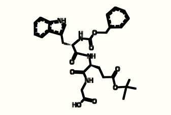 CC(C)(C)OC(=O)CC[C@H](NC(=O)[C@H](Cc1c[nH]c2ccccc12)NC(=O)OCc1ccccc1)C(=O)NCC(=O)O